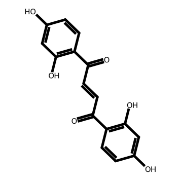 O=C(C=CC(=O)c1ccc(O)cc1O)c1ccc(O)cc1O